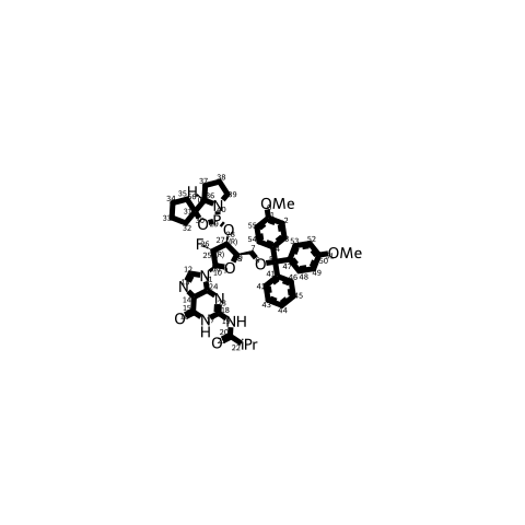 COc1ccc(C(OC[C@H]2O[C@@H](N3C=NC4C(=O)NC(NC(=O)C(C)C)=NC43)[C@H](F)[C@@H]2OP2OC3(CCCC3)[C@H]3CCCN32)(c2ccccc2)c2ccc(OC)cc2)cc1